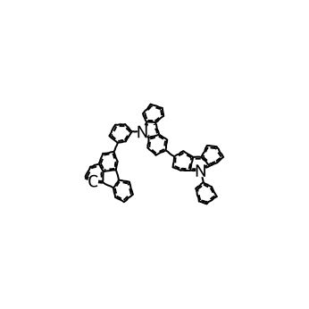 c1ccc(-n2c3ccccc3c3cc(-c4ccc5c(c4)c4ccccc4n5-c4cccc(-c5cc6c7c(cccc7c5)-c5ccccc5-6)c4)ccc32)cc1